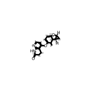 CC1C(Oc2ccnc3c2CCC(=O)N3)=CC=C2O[C@@H]3C[C@@H]3C21